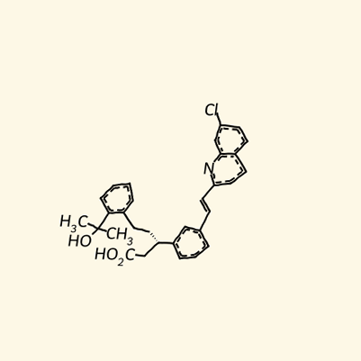 CC(C)(O)c1ccccc1CC[C@@H](CC(=O)O)c1cccc(/C=C/c2ccc3ccc(Cl)cc3n2)c1